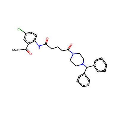 COC(=O)c1cc(Cl)ccc1NC(=O)CCCC(=O)N1CCN(C(c2ccccc2)c2ccccc2)CC1